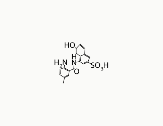 Cc1ccc(N)c(C(=O)Nc2cc(S(=O)(=O)O)cc3ccc(O)cc23)c1